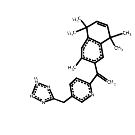 C=C(c1ccc(Cc2nn[nH]n2)cn1)c1cc2c(cc1C)C(C)(C)C=CC2(C)C